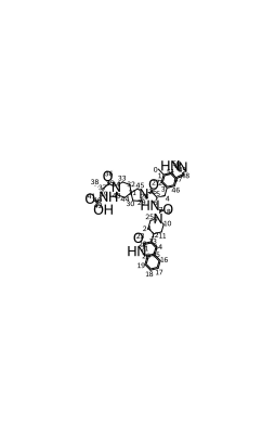 Cc1cc(C[C@@H](NC(=O)N2CCC(c3cc4ccccc4[nH]c3=O)CC2)C(=O)N2CCC3(CCN(C(=O)[C@@H](C)NC(=O)O)CC3)C2)cc2cn[nH]c12